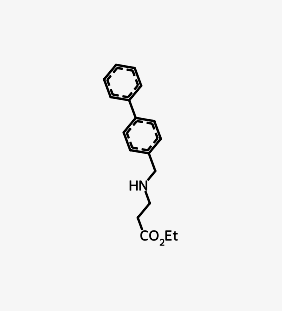 CCOC(=O)CCNCc1ccc(-c2ccccc2)cc1